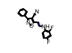 N#Cc1c(-c2ccccc2)noc1/C=C/Nc1ccc(F)cc1F